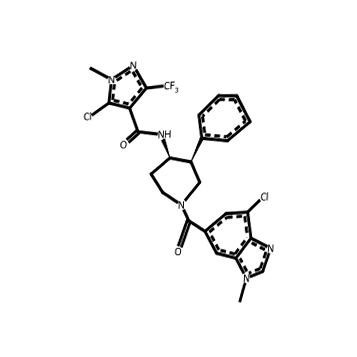 Cn1nc(C(F)(F)F)c(C(=O)N[C@@H]2CCN(C(=O)c3cc(Cl)c4ncn(C)c4c3)C[C@@H]2c2ccccc2)c1Cl